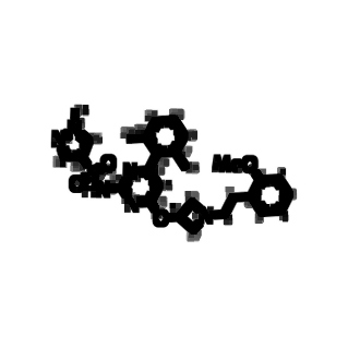 COc1ccccc1CCN1CC(Oc2cc(-c3c(C)cccc3C)nc(NS(=O)(=O)c3cnn(C)c3)n2)C1